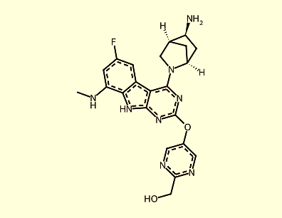 CNc1cc(F)cc2c1[nH]c1nc(Oc3cnc(CO)nc3)nc(N3C[C@@H]4C[C@H]3C[C@@H]4N)c12